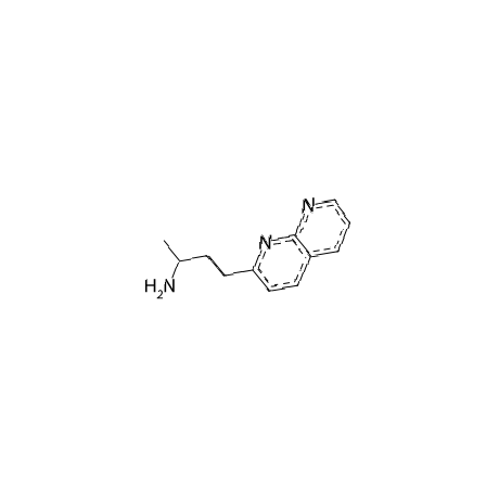 CC(N)CCc1ccc2cccnc2n1